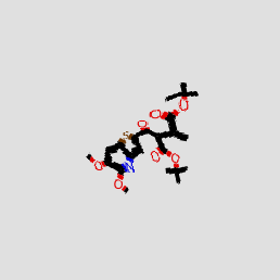 COc1cc2sc(C(=O)C(C(=O)OC(C)(C)C)C(C)C(=O)OC(C)(C)C)cc2nc1OC